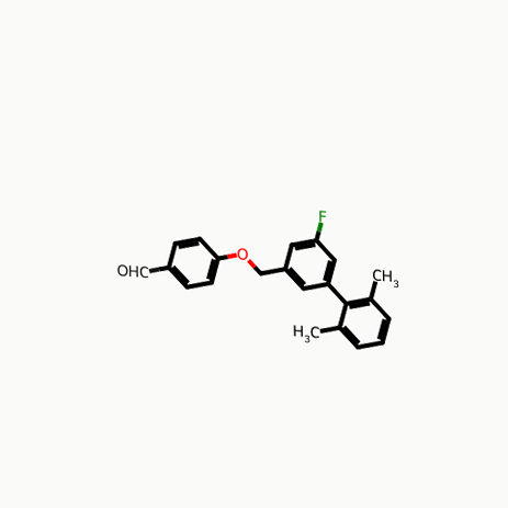 Cc1cccc(C)c1-c1cc(F)cc(COc2ccc(C=O)cc2)c1